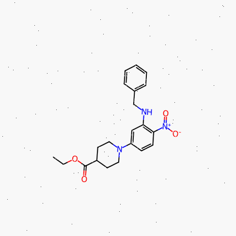 CCOC(=O)C1CCN(c2ccc([N+](=O)[O-])c(NCc3ccccc3)c2)CC1